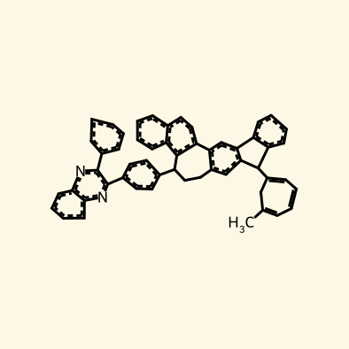 CC1=CC=CC=C(C2c3ccccc3-c3cc4c(cc32)CCC(c2ccc(-c3nc5ccccc5nc3-c3ccccc3)cc2)c2c-4ccc3ccccc23)C1